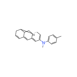 Cc1ccc(N(C)C2=CC[C@]34CC5C(=CC3=C2)C=CCC54)cc1